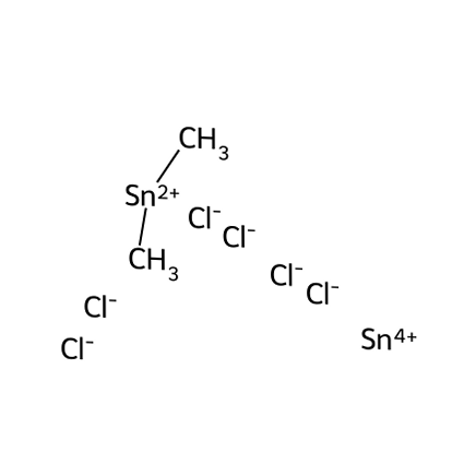 [CH3][Sn+2][CH3].[Cl-].[Cl-].[Cl-].[Cl-].[Cl-].[Cl-].[Sn+4]